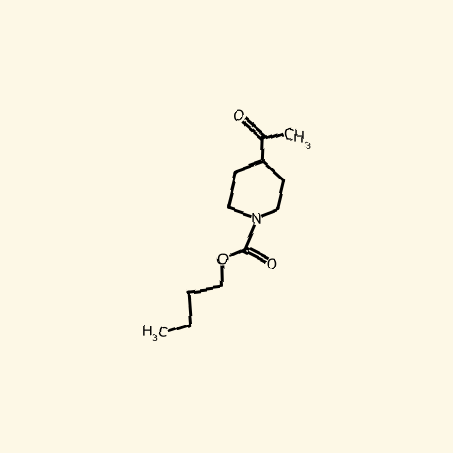 CCCCOC(=O)N1CCC(C(C)=O)CC1